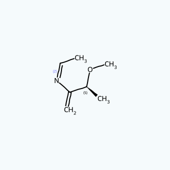 C=C(/N=C\C)[C@H](C)OC